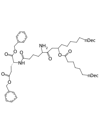 CCCCCCCCCCCCCCCC(=O)OC(CCCCCCCCCCCCCCC)CC(=O)C(N)CCCC(=O)N[C@H](CCC(=O)OCc1ccccc1)C(=O)OCc1ccccc1